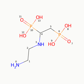 NCCNC(CP(=O)(O)O)P(=O)(O)O